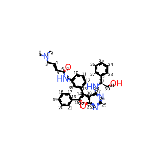 CN(C)CC=CC(=O)Nc1cccc(-c2c(-c3ccccc3)oc3ncnc(N[C@H](CO)c4ccccc4)c23)c1